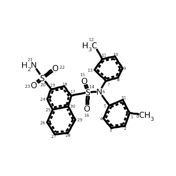 Cc1cccc(N(c2cccc(C)c2)S(=O)(=O)c2cc(S(N)(=O)=O)cc3ccccc23)c1